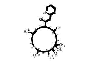 CC1=CCC(C(Cl)=Cc2ccccn2)CC(=O)CCC(C)(C)C(=O)C(C)CC(C)OCC1